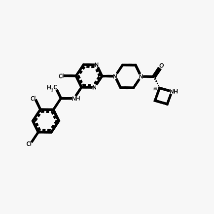 CC(Nc1nc(N2CCN(C(=O)[C@H]3CCN3)CC2)ncc1Cl)c1ccc(Cl)cc1Cl